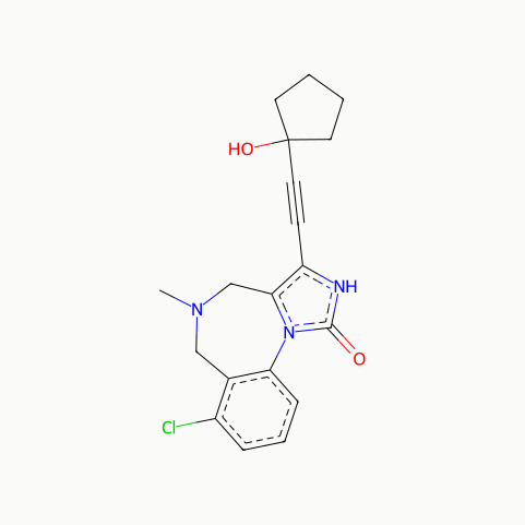 CN1Cc2c(Cl)cccc2-n2c(c(C#CC3(O)CCCC3)[nH]c2=O)C1